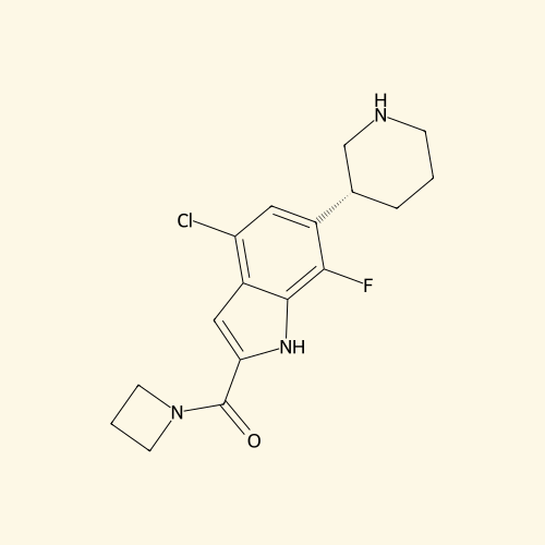 O=C(c1cc2c(Cl)cc([C@H]3CCCNC3)c(F)c2[nH]1)N1CCC1